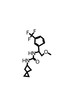 COCC(NC(=O)NC1CC2(CC2)C1)c1cccc(C(F)(F)F)c1